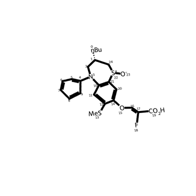 CCCC[C@H]1CN(c2ccccc2)c2cc(SC)c(O/C=C(\F)C(=O)O)cc2[S+]([O-])C1